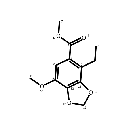 CCc1c(C(=O)OC)cc(OC)c2c1OCO2